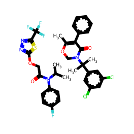 CC(C)N(C(=O)COc1nnc(C(F)(F)F)s1)c1ccc(F)cc1.CC1=C(c2ccccc2)C(=O)N(C(C)(C)c2cc(Cl)cc(Cl)c2)CO1